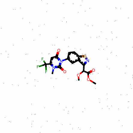 COC(=O)C(OC)c1nsc2ccc(-n3c(=O)cc(C(F)(F)F)n(C)c3=O)cc12